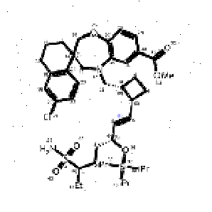 CC[C@H](CC[C@H](/C=C/[C@@H]1CC[C@H]1CN1C[C@@]2(CCCc3cc(Cl)ccc32)COc2ccc(C(=O)OC)cc21)O[Si](C(C)C)(C(C)C)C(C)C)S(N)(=O)=O